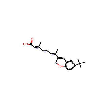 CC(/C=C/C=C(\C)C1=Cc2cc(C(C)(C)C)ccc2OC1)=C\C(=O)O